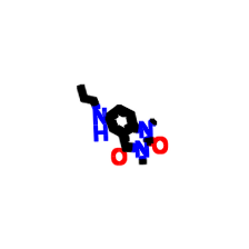 CCCNc1ccc2c(c1)c(=O)n(C)c(=O)n2C